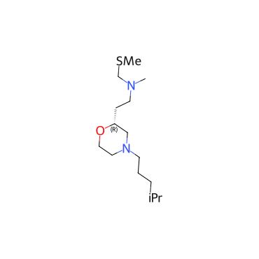 CSCN(C)CC[C@@H]1CN(CCCC(C)C)CCO1